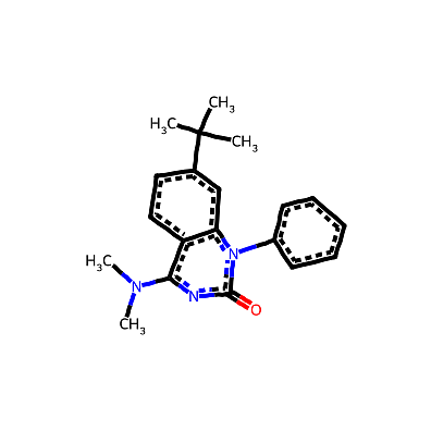 CN(C)c1nc(=O)n(-c2ccccc2)c2cc(C(C)(C)C)ccc12